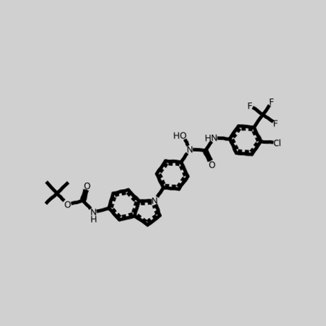 CC(C)(C)OC(=O)Nc1ccc2c(ccn2-c2ccc(N(O)C(=O)Nc3ccc(Cl)c(C(F)(F)F)c3)cc2)c1